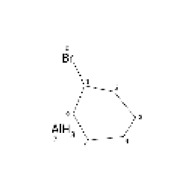 Br[C]1CCCCC1.[AlH3]